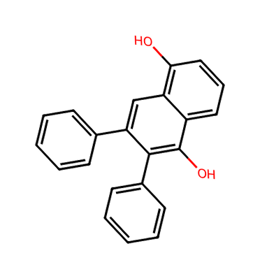 Oc1cccc2c(O)c(-c3ccccc3)c(-c3ccccc3)cc12